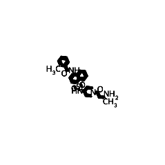 Cc1ccccc1C(=O)Nc1ccc(S(=O)(=O)NC2CCN(C(=O)CC(C)N)CC2)c2ccccc12